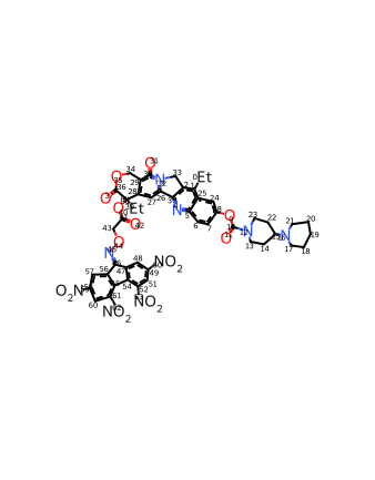 CCc1c2c(nc3ccc(OC(=O)N4CCC(N5CCCCC5)CC4)cc13)-c1cc3c(c(=O)n1C2)COC(=O)[C@@]3(CC)OC(=O)CON=C1c2cc([N+](=O)[O-])cc([N+](=O)[O-])c2-c2c1cc([N+](=O)[O-])cc2[N+](=O)[O-]